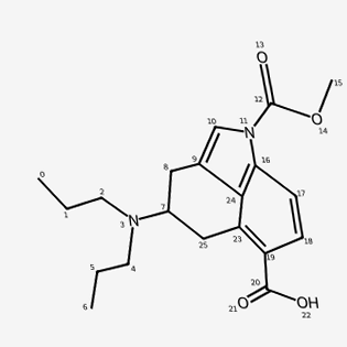 CCCN(CCC)C1Cc2cn(C(=O)OC)c3ccc(C(=O)O)c(c23)C1